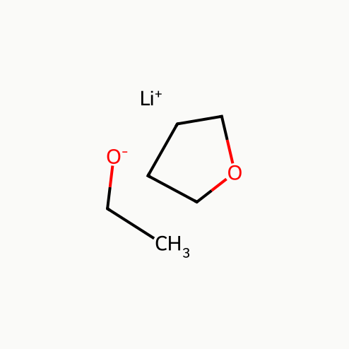 C1CCOC1.CC[O-].[Li+]